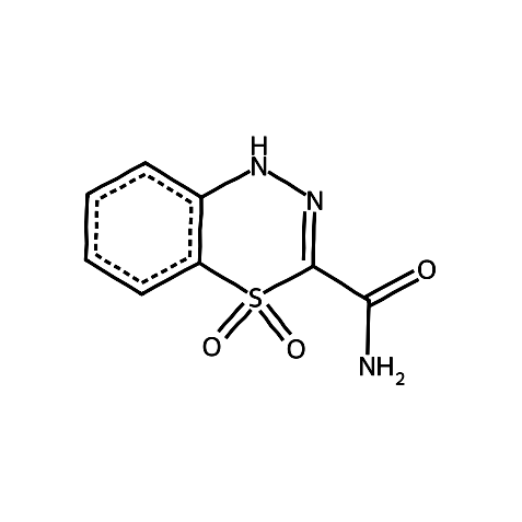 NC(=O)C1=NNc2ccccc2S1(=O)=O